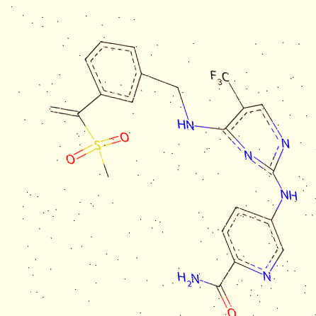 C=C(c1cccc(CNc2nc(Nc3ccc(C(N)=O)nc3)ncc2C(F)(F)F)c1)S(C)(=O)=O